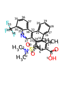 Cc1c(C(=O)O)cc(S(=O)(=O)N(C)C)cc1-c1ccccc1-c1c(C(C)C)cnc2c(C(F)(F)F)cccc12